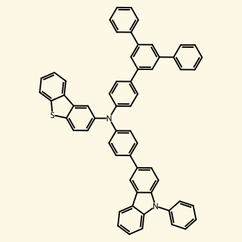 c1ccc(-c2cc(-c3ccccc3)cc(-c3ccc(N(c4ccc(-c5ccc6c(c5)c5ccccc5n6-c5ccccc5)cc4)c4ccc5sc6ccccc6c5c4)cc3)c2)cc1